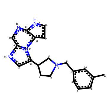 Cc1cccc(CN2CCC(c3cnc4cnc5[nH]ccc5n34)C2)c1